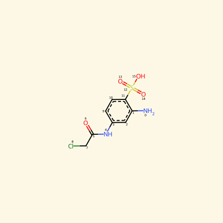 Nc1cc(NC(=O)CCl)ccc1S(=O)(=O)O